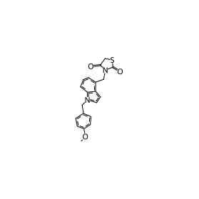 COc1ccc(Cn2ccc3c(CN4C(=O)CSC4=O)cccc32)cc1